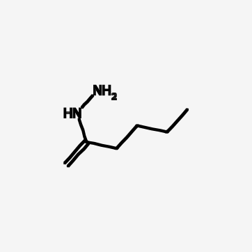 C=C(CCCC)NN